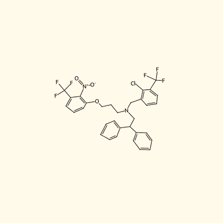 O=[N+]([O-])c1c(OCCCN(Cc2cccc(C(F)(F)F)c2Cl)CC(c2ccccc2)c2ccccc2)cccc1C(F)(F)F